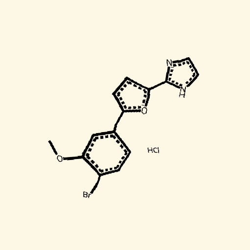 COc1cc(-c2ccc(-c3ncc[nH]3)o2)ccc1Br.Cl